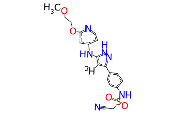 [2H]c1c(-c2ccc(NS(=O)(=O)CC#N)cc2)n[nH]c1Nc1ccnc(OCCOC)c1